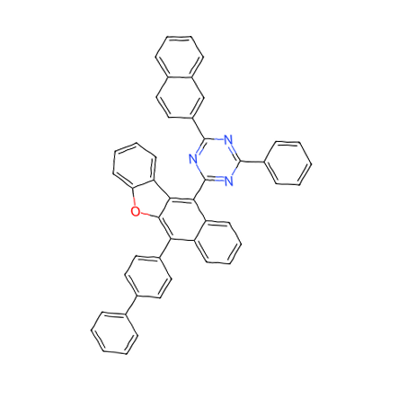 c1ccc(-c2ccc(-c3c4ccccc4c(-c4nc(-c5ccccc5)nc(-c5ccc6ccccc6c5)n4)c4c3oc3ccccc34)cc2)cc1